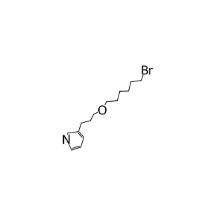 BrCCCCCCOCCCc1cccnc1